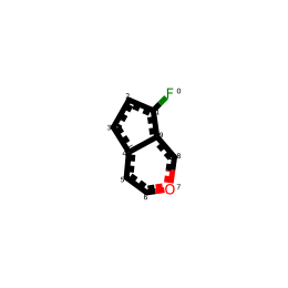 Fc1c[c]c2ccocc1-2